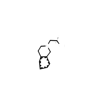 CC[C@@H](O)CN1CCc2ccccc2C1